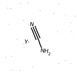 N#CN.[Y]